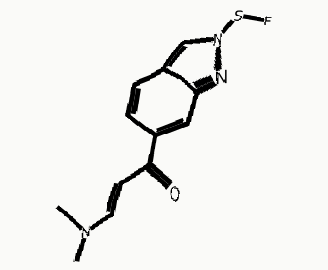 CN(C)/C=C/C(=O)c1ccc2cn(SF)nc2c1